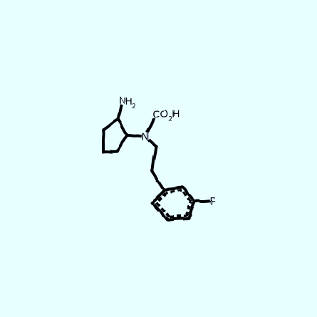 NC1CCCC1N(CCc1cccc(F)c1)C(=O)O